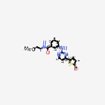 COCCNC(=O)c1cccc(Nc2nccc(-c3ccc(Br)s3)n2)c1